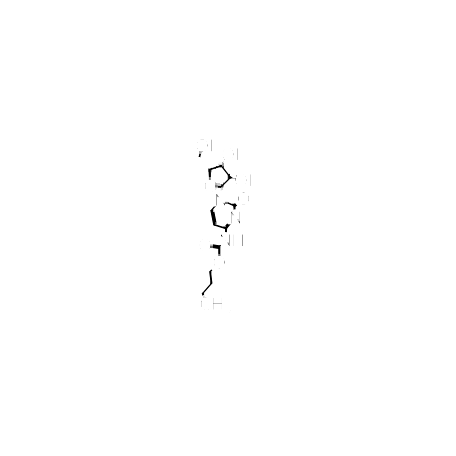 CCCCOC(=O)Nc1ccn([C@@H]2O[C@H](CO)[C@@H](O)[C@@H]2O)c(=O)n1